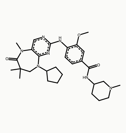 COc1cc(C(=O)NC2CCCN(C)C2)ccc1Nc1ncc2c(n1)N(C1CCCC1)CC(C)(C)C(=O)N2C